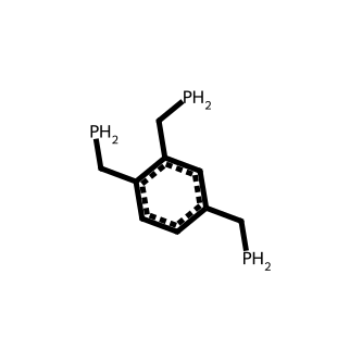 PCc1ccc(CP)c(CP)c1